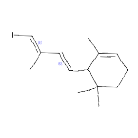 CC1=CCCC(C)(C)C1/C=C/C(C)=C/I